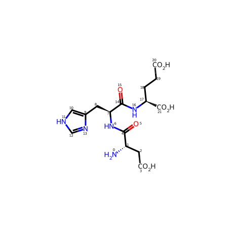 N[C@@H](CC(=O)O)C(=O)N[C@@H](Cc1c[nH]cn1)C(=O)N[C@@H](CCC(=O)O)C(=O)O